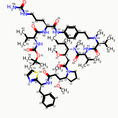 CC[C@H](C)[C@@H]([C@@H](CC(=O)N1CCC[C@H]1[C@H](OC)[C@@H](C)C(=O)N[C@@H](Cc1ccccc1)c1nccs1)OC)N(C)C(=O)[C@@H](NC(=O)[C@H](C(C)C)N(C)CCc1ccc(NC(=O)[C@H](CCCNC(N)=O)NC(=O)[C@@H](NC(=O)OC(C)(C)C)C(C)C)cc1)C(C)C